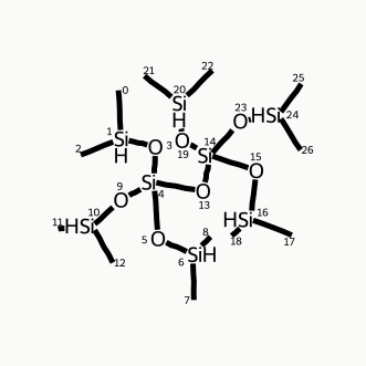 C[SiH](C)O[Si](O[SiH](C)C)(O[SiH](C)C)O[Si](O[SiH](C)C)(O[SiH](C)C)O[SiH](C)C